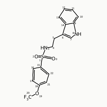 O=S(=O)(NCCc1c[nH]c2ccccc12)c1ccc(OC(F)(F)F)cc1